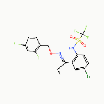 CC/C(=N\OCc1ccc(F)cc1F)c1cc(Cl)ccc1NS(=O)(=O)C(F)(F)F